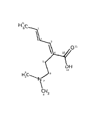 C/C=C/C=C(\CCN(C)C)C(=O)O